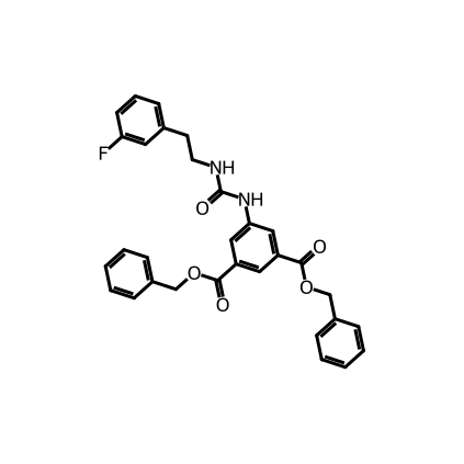 O=C(NCCc1cccc(F)c1)Nc1cc(C(=O)OCc2ccccc2)cc(C(=O)OCc2ccccc2)c1